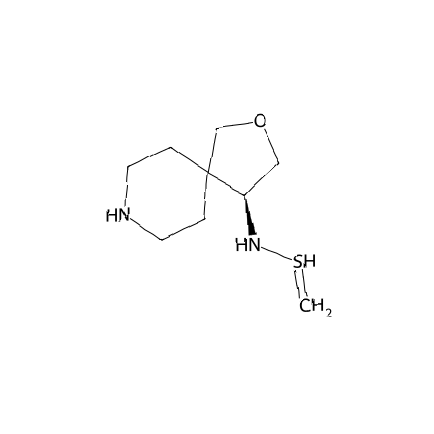 C=[SH]N[C@@H]1COCC12CCNCC2